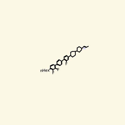 C/C=C/C1CCC(C2CCC(c3ccc(-c4ccc(-c5ccc(CCCCCC)c(F)c5F)cc4)c(F)c3)CC2)CC1